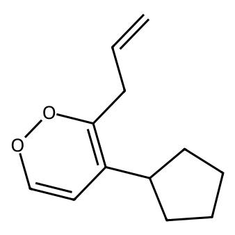 C=CCC1=C(C2CCCC2)C=COO1